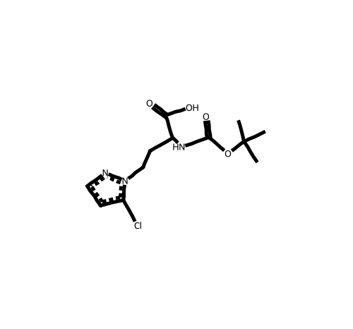 CC(C)(C)OC(=O)NC(CCn1nccc1Cl)C(=O)O